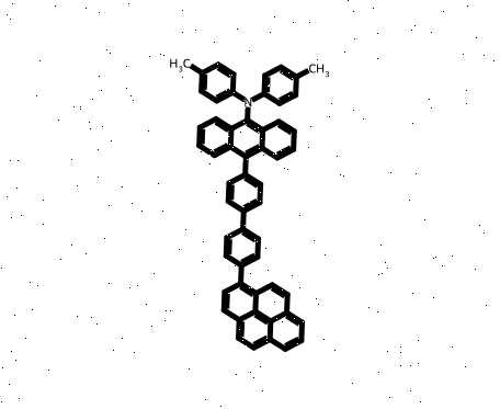 Cc1ccc(N(c2ccc(C)cc2)c2c3ccccc3c(-c3ccc(-c4ccc(-c5ccc6ccc7cccc8ccc5c6c78)cc4)cc3)c3ccccc23)cc1